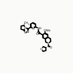 COc1cc2c(cc1C1OC1Nc1cccc(-c3nnc4n3[C@@H](C)CC4)n1)CN(C(=O)[C@@H]1CCOC1)CC2